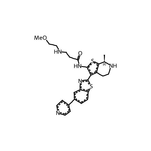 COCCNCCC(=O)Nc1sc2c(c1-c1nc3cc(-c4ccncc4)ccc3s1)CCN[C@@H]2C